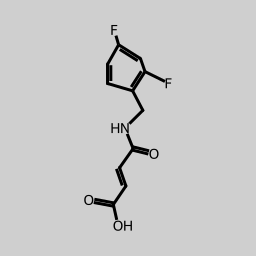 O=C(O)C=CC(=O)NCc1ccc(F)cc1F